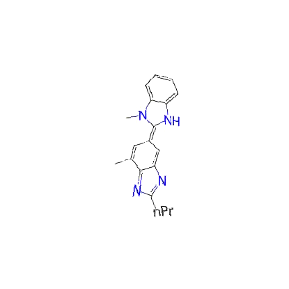 CCCC1=Nc2cc(=C3Nc4ccccc4N3C)cc(C)c2=N1